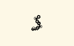 O=C(c1ccc2c(c1)CCN(C(=O)C1CCCCC1)C2)N1CCN(CC2CCCO2)CC1